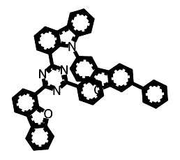 c1ccc(-c2ccc3c(c2)oc2ccc(-n4c5ccccc5c5cccc(-c6nc(-c7ccccc7)nc(-c7cccc8c7oc7ccccc78)n6)c54)cc23)cc1